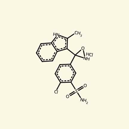 Cc1[nH]c2ccccc2c1C1(c2ccc(Cl)c(S(N)(=O)=O)c2)NO1.Cl